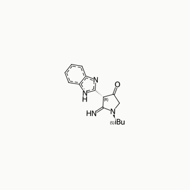 CC[C@H](C)N1CC(=O)[C@@H](c2nc3ccccc3[nH]2)C1=N